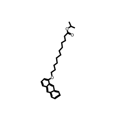 CC(C)OC(=O)CCCCCCCCCCCOc1cccc2cc3ccccc3cc12